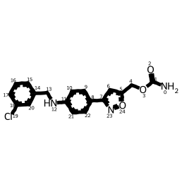 NC(=O)OCc1cc(-c2ccc(NCc3cccc(Cl)c3)cc2)no1